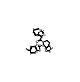 O=C(c1ncn2ccccc12)N1CCc2[nH]cnc2[C@H]1c1nc2cc(F)ccc2s1